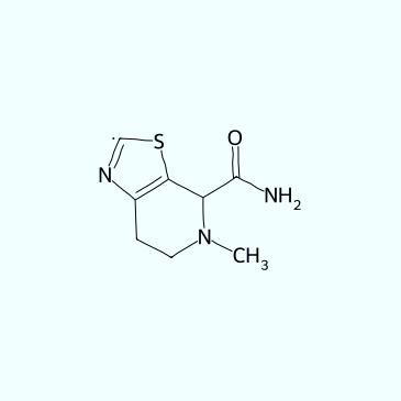 CN1CCc2n[c]sc2C1C(N)=O